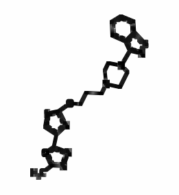 Cc1nnc(-c2csc(OCCCN3CCN(c4nsc5ccccc45)CC3)n2)o1